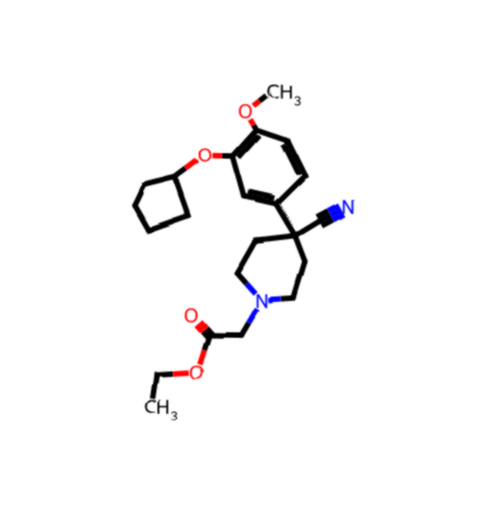 CCOC(=O)CN1CCC(C#N)(c2ccc(OC)c(OC3CCCC3)c2)CC1